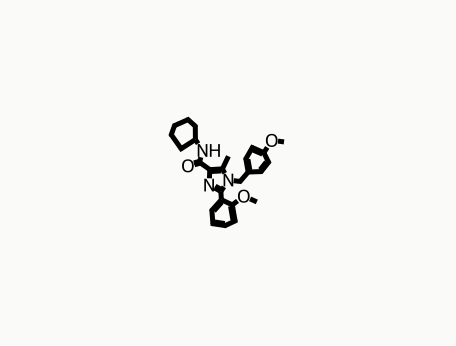 COc1ccc(Cn2c(-c3ccccc3OC)nc(C(=O)NC3CCCCC3)c2C)cc1